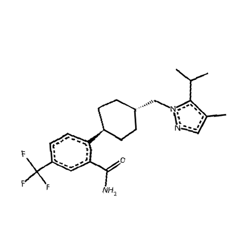 Cc1cnn(C[C@H]2CC[C@H](c3ccc(C(F)(F)F)cc3C(N)=O)CC2)c1C(C)C